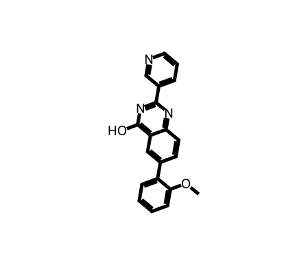 COc1ccccc1-c1ccc2nc(-c3cccnc3)nc(O)c2c1